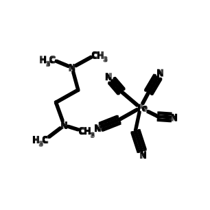 CN(C)CCN(C)C.N#[C][Fe]([C]#N)([C]#N)([C]#N)[C]#N